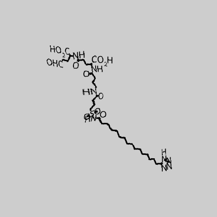 O=CCCC(NC(=O)CCC(NC(=O)CCCNC(=O)CCCS(=O)(=O)NC(=O)CCCCCCCCCCCCCCCc1nnn[nH]1)C(=O)O)C(=O)O